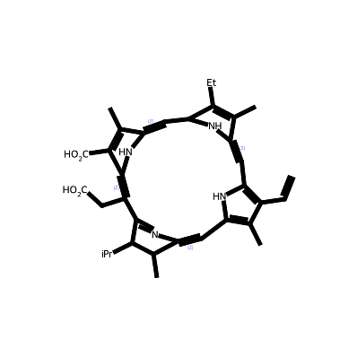 C=Cc1c2[nH]c(c1C)/C=C1N=C(/C(CC(=O)O)=c3\[nH]/c(c(C)c3C(=O)O)=C\C3N/C(=C\2)C(C)=C3CC)C(C(C)C)C\1C